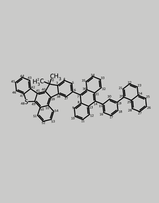 CC1(C)c2ccc(-c3c4ccccc4c(-c4cccc(-c5cccc6ccccc56)c4)c4ccccc34)cc2-c2c1c1c3ccccc3sc1c1ccccc21